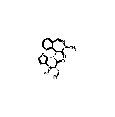 CC(=O)N(c1ccsc1)[C@@H](CC(C)C)C(=O)N[C@H]1C(=O)N(C)N=Cc2ccccc21